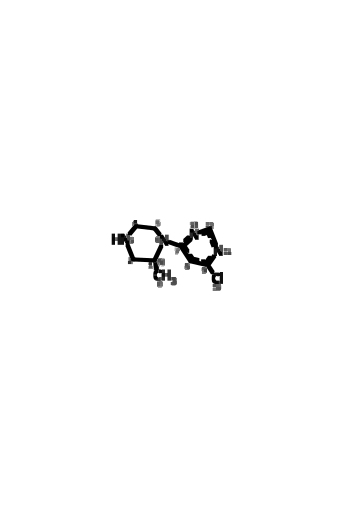 C[C@H]1CNCCN1c1cc(Cl)ncn1